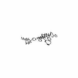 CNC(=N)c1ccc(NC(=O)C(NC(=O)Nc2ccc(Cl)cc2)c2ccccc2)cc1